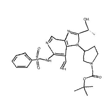 C[C@@H](O)c1nc2cnc(NS(=O)(=O)c3ccccc3)c(C=N)c2n1C1CCN(C(=O)OC(C)(C)C)C1